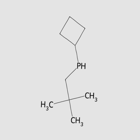 CC(C)(C)CPC1CCC1